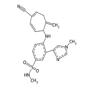 C=C1CC=C(C#N)C=CC1Nc1ccc(S(=O)(=O)NC)cc1-c1cn(C)cn1